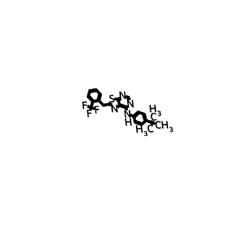 CC(C)(C)c1ccc(Nc2ncnc3sc(Cc4ccccc4C(F)(F)F)nc23)cc1